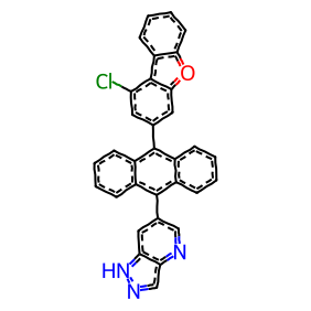 Clc1cc(-c2c3ccccc3c(-c3cnc4cn[nH]c4c3)c3ccccc23)cc2oc3ccccc3c12